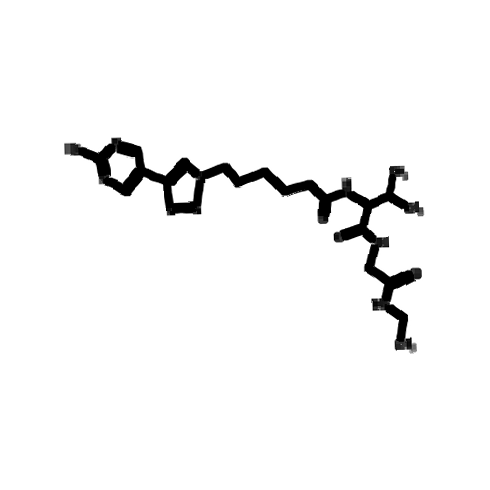 CCNC(=O)CNC(=O)C(NC(=O)CCCCCn1cc(-c2cnc(S)nc2)nn1)C(C)C